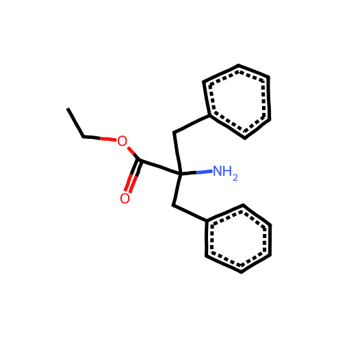 CCOC(=O)C(N)(Cc1ccccc1)Cc1ccccc1